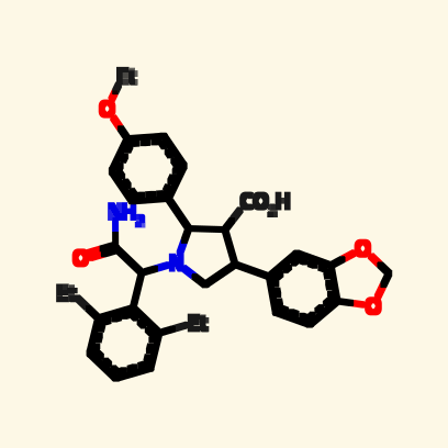 CCOc1ccc(C2C(C(=O)O)C(c3ccc4c(c3)OCO4)CN2C(C(N)=O)c2c(CC)cccc2CC)cc1